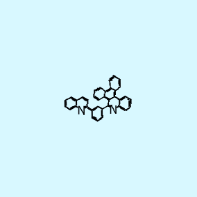 c1cc(-c2ccc3ccccc3n2)cc(-c2nc3ccccc3c3c4ccccc4c4ccccc4c23)c1